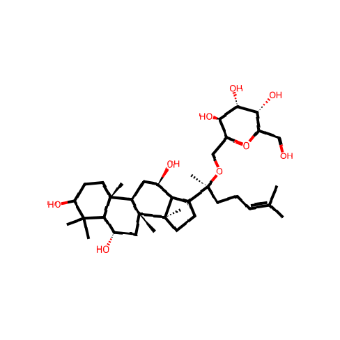 CC(C)=CCC[C@](C)(OCC1OC(CO)[C@@H](O)[C@@H](O)[C@@H]1O)C1CC[C@]2(C)C1[C@H](O)CC1[C@@]3(C)CCC(O)C(C)(C)C3[C@@H](O)C[C@]12C